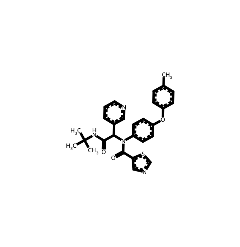 Cc1ccc(Oc2ccc(N(C(=O)c3cncs3)C(C(=O)NC(C)(C)C)c3cccnc3)cc2)cc1